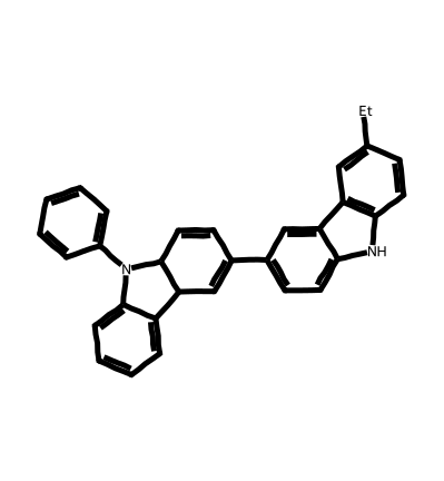 CCc1ccc2[nH]c3ccc(C4=CC5c6ccccc6N(c6ccccc6)C5C=C4)cc3c2c1